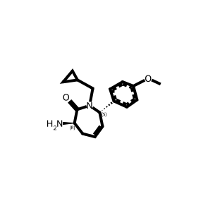 COc1ccc([C@@H]2C=CC[C@@H](N)C(=O)N2CC2CC2)cc1